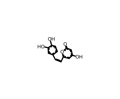 O=c1cc(O)cc(/C=C\c2ccc(O)c(O)c2)o1